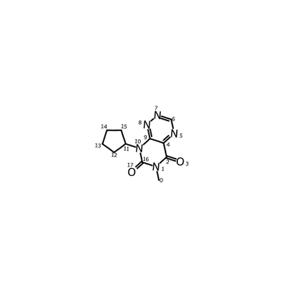 Cn1c(=O)c2ncnnc2n(C2CCCC2)c1=O